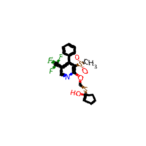 CS(=O)(=O)c1c(OCSC2(O)CCCC2)ncc(C(F)(F)F)c1-c1ccccc1